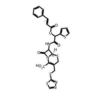 O=C(/C=C/c1ccccc1)OC(C(=O)NC1C(=O)N2C(C(=O)O)=C(CSc3nncs3)CS[C@H]12)c1cccs1